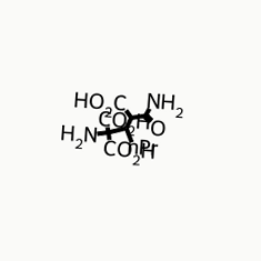 CCCC(C(C(N)=O)C(=O)O)C(N)(C(=O)O)C(=O)O